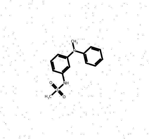 CN(c1cc[c]cc1)c1cccc(NS(C)(=O)=O)c1